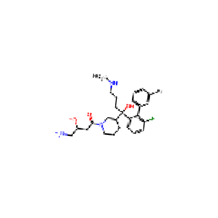 CCc1cccc(-c2c(F)cccc2C(O)(CCCNC(=O)O)C2CCCN(C(=O)CC(O)CN)C2)c1